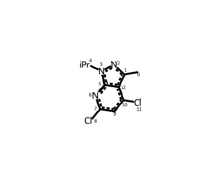 Cc1nn(C(C)C)c2nc(Cl)cc(Cl)c12